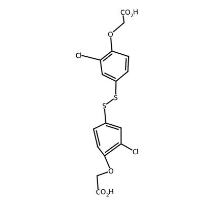 O=C(O)COc1ccc(SSc2ccc(OCC(=O)O)c(Cl)c2)cc1Cl